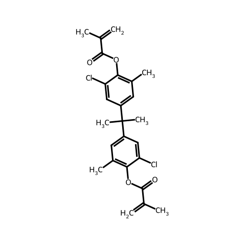 C=C(C)C(=O)Oc1c(C)cc(C(C)(C)c2cc(C)c(OC(=O)C(=C)C)c(Cl)c2)cc1Cl